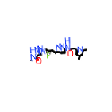 CNC(=O)c1cn(C[C@H](F)CCc2ccc(NC(=O)Cc3cc(C)cc(C)n3)nn2)nn1